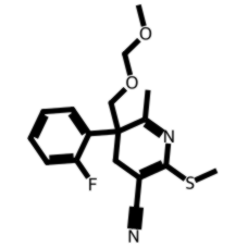 COCOCC1(c2ccccc2F)CC(C#N)=C(SC)N=C1C